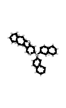 c1ccc2cc(N(c3ccc4ccccc4c3)c3cc4oc5cc6ccccc6cc5c4cn3)ccc2c1